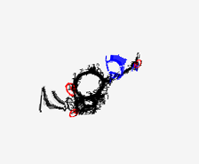 Cc1cc(CNC[C@@]2(C)CCC(C)(C)CCCC(=O)C[C@@H]3[C@@]4(C)C=C(C#N)C(=O)C(C)(C)[C@@H]4CC[C@@]3(C)C(C)(C)CC2)no1